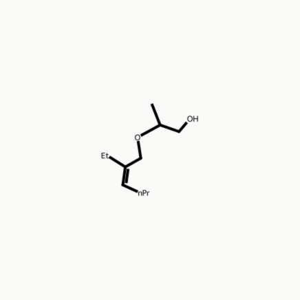 CCCC=C(CC)COC(C)CO